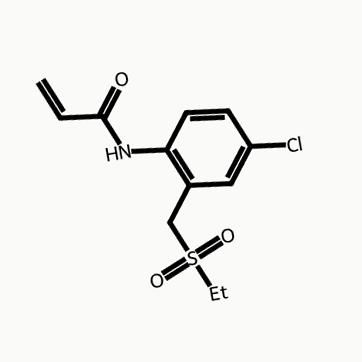 C=CC(=O)Nc1ccc(Cl)cc1CS(=O)(=O)CC